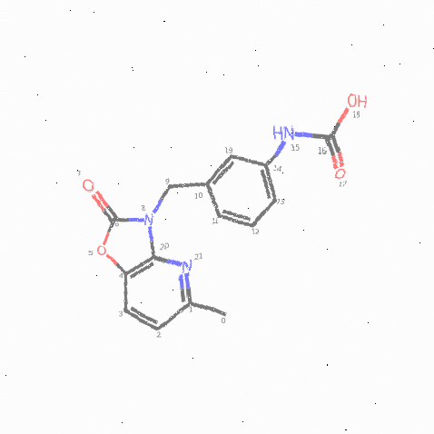 Cc1ccc2oc(=O)n(Cc3cccc(NC(=O)O)c3)c2n1